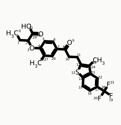 CCC(Oc1ccc(C(=O)CCc2sc3ccc(C(F)(F)F)cc3c2C)cc1C)C(=O)O